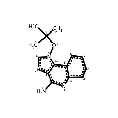 CC(C)(C)On1cnc2c(N)nc3ccccc3c21